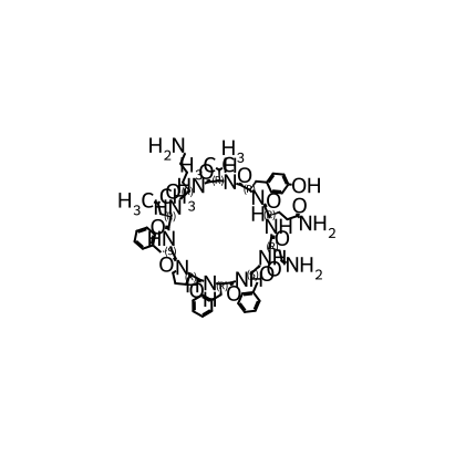 CC(C)C[C@H]1NC(=O)[C@@H](CCCCN)NC(=O)[C@@H](C(C)C)NC(=O)[C@@H](Cc2ccc(O)cc2)NC(=O)[C@@H](CCC(N)=O)NC(=O)[C@@H](CC(N)=O)NC(=O)[C@H](Cc2ccccc2)NC(=O)[C@@H](Cc2ccccc2)NC(=O)[C@H]2CCCN2C(=O)[C@H](Cc2ccccc2)NC1=O